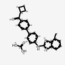 Cc1cccc2sc(Nc3ccc(-c4ccc(C(=O)C5CCC5)cc4)cc3)nc12.O=C(O)O